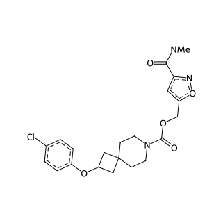 CNC(=O)c1cc(COC(=O)N2CCC3(CC2)CC(Oc2ccc(Cl)cc2)C3)on1